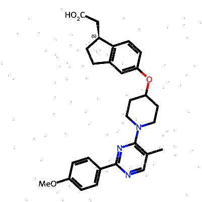 COc1ccc(-c2ncc(C)c(N3CCC(Oc4ccc5c(c4)CC[C@H]5CC(=O)O)CC3)n2)cc1